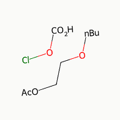 CCCCOCCOC(C)=O.O=C(O)OCl